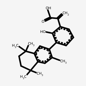 C=C(C(=O)O)c1cccc(-c2cc3c(cc2C)C(C)(C)CCC3(C)C)c1O